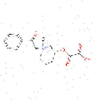 C[N+]1(CC(=O)c2ccccc2)CCCC(OC(=O)C(=O)O)C1